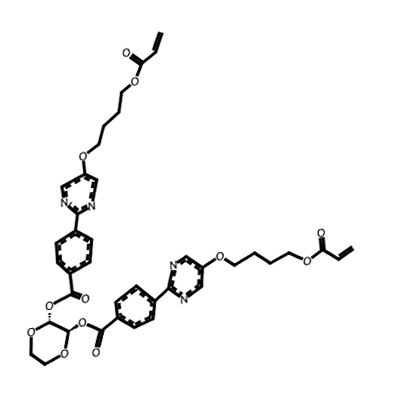 C=CC(=O)OCCCCOc1cnc(-c2ccc(C(=O)O[C@H]3OCCO[C@@H]3OC(=O)c3ccc(-c4ncc(OCCCCOC(=O)C=C)cn4)cc3)cc2)nc1